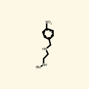 CC(C)(C)NCCNCc1ccc([N+](=O)[O-])cc1